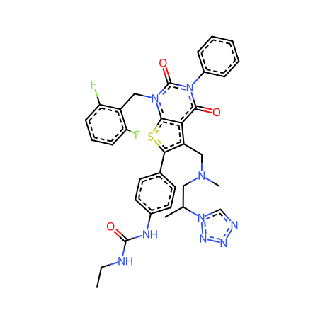 CCNC(=O)Nc1ccc(-c2sc3c(c2CN(C)CC(C)n2cnnn2)c(=O)n(-c2ccccc2)c(=O)n3Cc2c(F)cccc2F)cc1